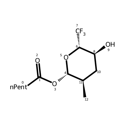 CCCCCC(=O)O[C@@H]1O[C@H](C(F)(F)F)[C@@H](O)C[C@H]1C